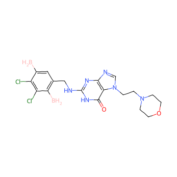 Bc1cc(CNc2nc3ncn(CCN4CCOCC4)c3c(=O)[nH]2)c(B)c(Cl)c1Cl